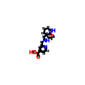 CC[C@@]1(CNCc2cc(C(=O)O)ccn2)CCCNC1=O